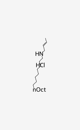 CC=CCNCCCCCCCCCCCCCCCC.Cl